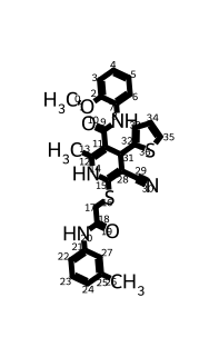 COc1ccccc1NC(=O)C1=C(C)NC(SCC(=O)Nc2cccc(C)c2)=C(C#N)C1c1cccs1